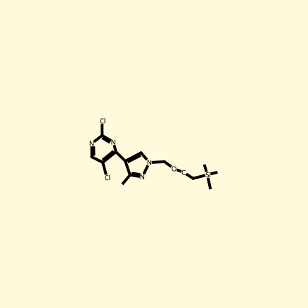 Cc1nn(COCC[Si](C)(C)C)cc1-c1nc(Cl)ncc1Cl